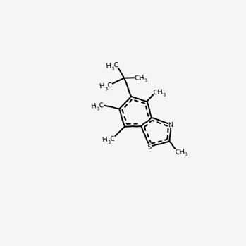 Cc1nc2c(C)c(C(C)(C)C)c(C)c(C)c2s1